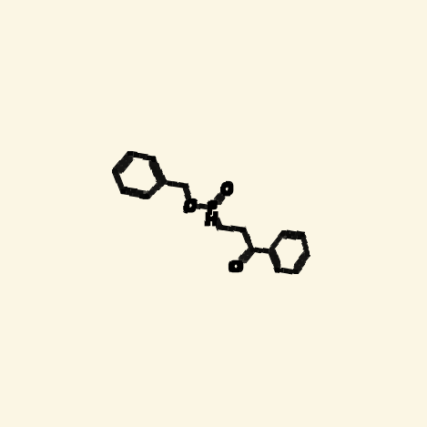 O=C(CC[PH](=O)OCc1ccccc1)c1ccccc1